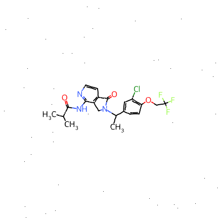 CC(C)C(=O)Nc1nccc2c1CN(C(C)c1ccc(OCC(F)(F)F)c(Cl)c1)C2=O